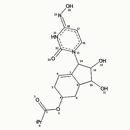 CC(C)C(=O)OC1CC=C2C(C1)C(O)C(O)C2n1ccc(=NO)[nH]c1=O